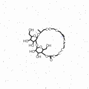 CC1CCCCCC/C=C\CCCCCCCC(=O)OC2C(CO)OC(OC3C(O1)OC(CO)C(O)C3O)C(O)C2O